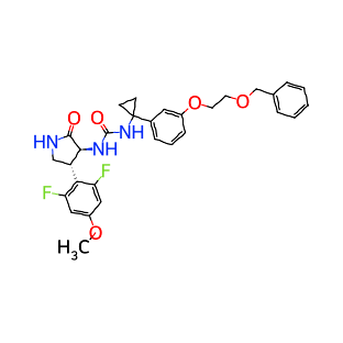 COc1cc(F)c([C@@H]2CNC(=O)[C@H]2NC(=O)NC2(c3cccc(OCCOCc4ccccc4)c3)CC2)c(F)c1